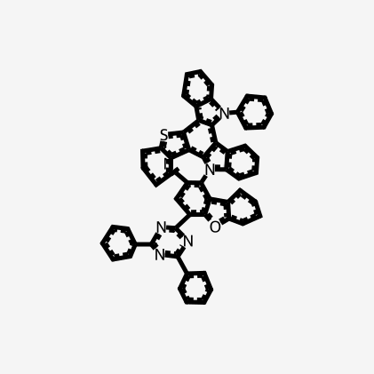 N#Cc1cc(-c2nc(-c3ccccc3)nc(-c3ccccc3)n2)c2oc3ccccc3c2c1-n1c2ccccc2c2c3c(c4ccccc4n3-c3ccccc3)c3sc4ccccc4c3c21